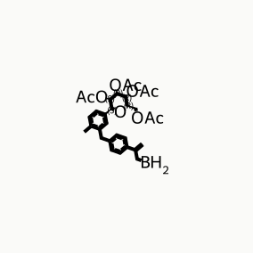 BCC(=C)c1ccc(Cc2cc([C@@H]3O[C@H](COC(C)=O)[C@@H](OC(C)=O)[C@H](OC(C)=O)[C@H]3OC(C)=O)ccc2C)cc1